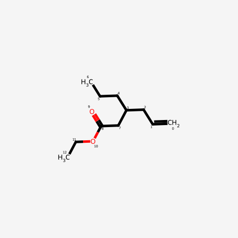 C=CCC(CCC)CC(=O)OCC